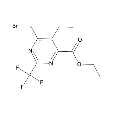 CCOC(=O)c1nc(C(F)(F)F)nc(CBr)c1CC